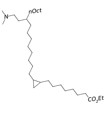 CCCCCCCCC(CCCCCCCCC1CC1CCCCCCCC(=O)OCC)CCN(C)C